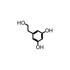 OCCc1cc(O)cc(O)c1